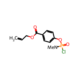 C=CCOC(=O)c1ccc(OP(=O)(Cl)NC)cc1